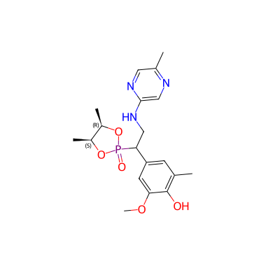 COc1cc(C(CNc2cnc(C)cn2)P2(=O)O[C@@H](C)[C@@H](C)O2)cc(C)c1O